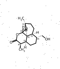 C[C@H]1C(=O)O[C@@H]2O[C@]3(C)CC[C@H]4[C@H](CO)CC[C@@H]1[C@@]24OO3